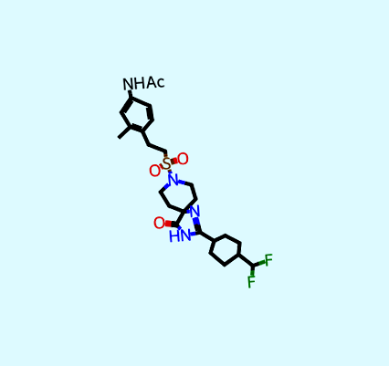 CC(=O)Nc1ccc(CCS(=O)(=O)N2CCC3(CC2)N=C(C2CCC(C(F)F)CC2)NC3=O)c(C)c1